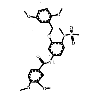 COc1ccc(OC)c(COc2cc(NC(=O)c3ccc(OC)c(OC)c3)ccc2N(C)S(C)(=O)=O)c1